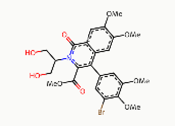 COC(=O)c1c(-c2cc(Br)c(OC)c(OC)c2)c2cc(OC)c(OC)cc2c(=O)n1C(CO)CO